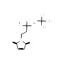 COC(C)(CCN1C(=O)C=CC1=O)OOC(C)(C)C